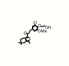 COc1cc(CCC(=O)c2sc(C)c3c2CCC(C)(C)C3)cc(Cl)c1OCCO